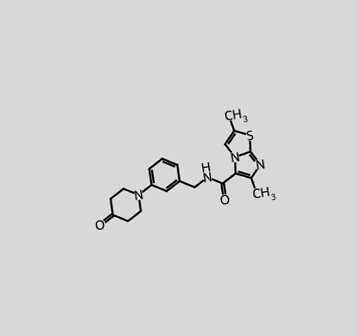 Cc1cn2c(C(=O)NCc3cccc(N4CCC(=O)CC4)c3)c(C)nc2s1